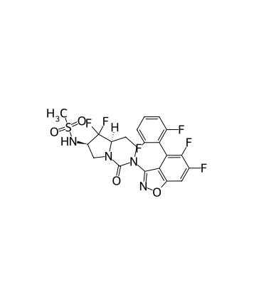 CS(=O)(=O)N[C@@H]1CN2C(=O)N(c3noc4cc(F)c(F)c(-c5c(F)cccc5F)c34)CC[C@@H]2C1(F)F